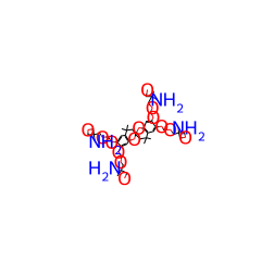 CC1(C)CC2(CC(C)(C)c3cc(OCOCC4(N)COC4)c(OCOCC4(N)COC4)cc3O2)Oc2cc(OCOCC3(N)COC3)c(OCOCC3(N)COC3)cc21